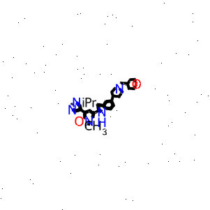 CC(C)c1c(-c2cc(-c3cncnc3)c(=O)n(C)c2)[nH]c2ccc(C3CCN(CC4CCOCC4)CC3)cc12